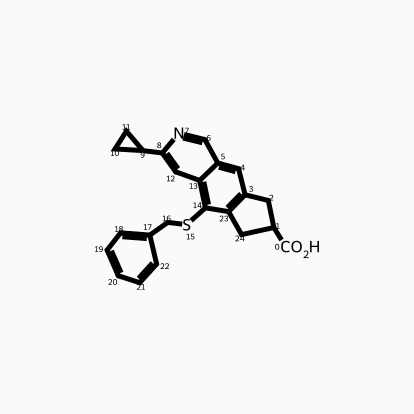 O=C(O)C1Cc2cc3cnc(C4CC4)cc3c(SCc3ccccc3)c2C1